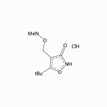 CNOCc1c(C(C)(C)C)o[nH]c1=O.Cl